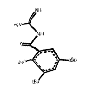 COc1c(C(=O)NC(=N)N)cc(C(C)(C)C)cc1C(C)(C)C